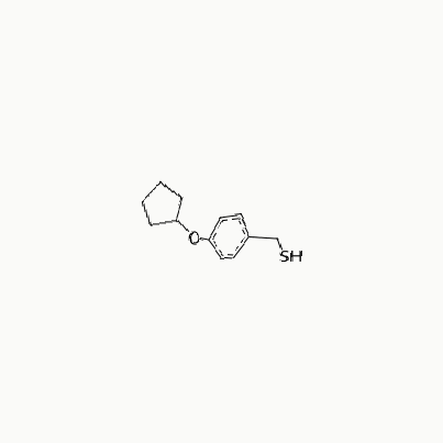 SCc1ccc(OC2CCCC2)cc1